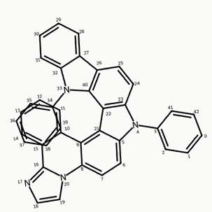 c1ccc(-n2c3ccc4c(c5ccccc5c5nccn45)c3c3c2ccc2c4ccccc4n(-c4ccccc4)c23)cc1